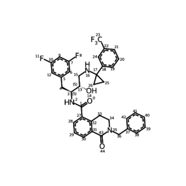 O=C(N[C@@H](Cc1cc(F)cc(F)c1)[C@@H](O)CNC1(c2cccc(C(F)(F)F)c2)CC1)c1cccc2c1CCN(Cc1ccccc1)C2=O